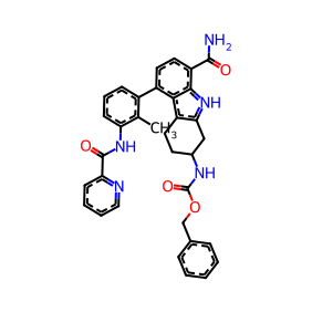 Cc1c(NC(=O)c2ccccn2)cccc1-c1ccc(C(N)=O)c2[nH]c3c(c12)CCC(NC(=O)OCc1ccccc1)C3